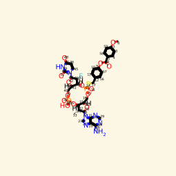 COc1ccc(C(=O)Oc2ccc(CSP3(=O)OC[C@H]4O[C@@H](n5cnc6c(N)ncnc65)[C@H](C)[C@@H]4OP(=O)(O)OC[C@H]4O[C@@H](n5ccc(=O)[nH]c5=O)[C@H](F)[C@@H]4O3)cc2)cc1